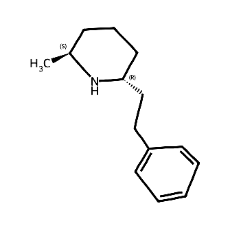 C[C@H]1CCC[C@H](CCc2ccccc2)N1